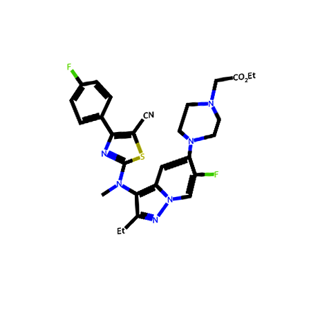 CCOC(=O)CN1CCN(c2cc3c(N(C)c4nc(-c5ccc(F)cc5)c(C#N)s4)c(CC)nn3cc2F)CC1